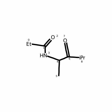 CCC(=O)NC(C)C(=O)C(C)C